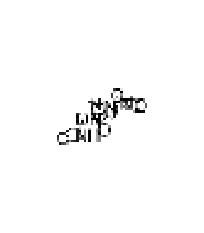 CCOc1nc(C(=O)N2C3CCC2COC3)ccc1C(=O)NCC(O)C1Cc2ccccc2CN1